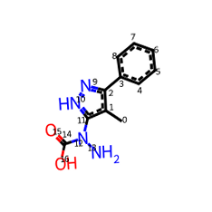 Cc1c(-c2ccccc2)n[nH]c1N(N)C(=O)O